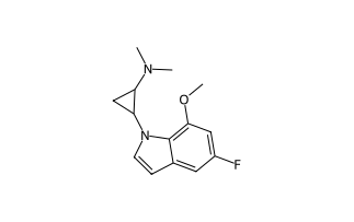 COc1cc(F)cc2ccn(C3CC3N(C)C)c12